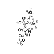 CC(C)(C)OC(=O)N[C@@H]1C(=O)N2C(C(=O)O)=C(C#C[Si](C)(C)C)C(C(C)(C)C)C[C@H]12